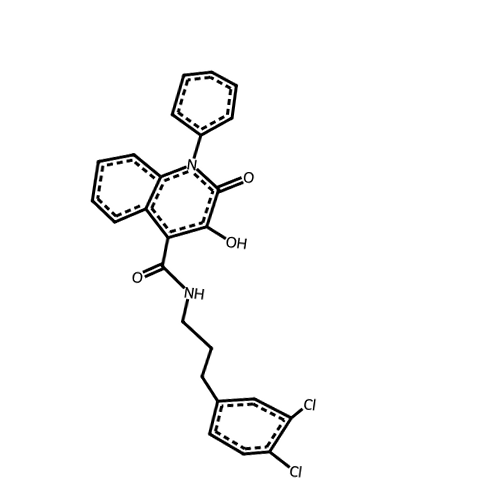 O=C(NCCCc1ccc(Cl)c(Cl)c1)c1c(O)c(=O)n(-c2ccccc2)c2ccccc12